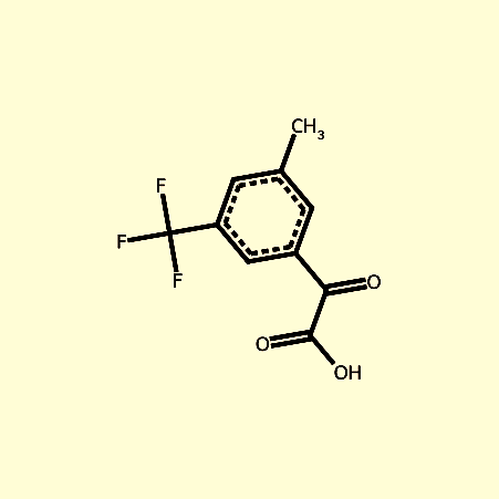 Cc1cc(C(=O)C(=O)O)cc(C(F)(F)F)c1